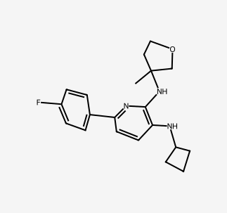 CC1(Nc2nc(-c3ccc(F)cc3)ccc2NC2CCC2)CCOC1